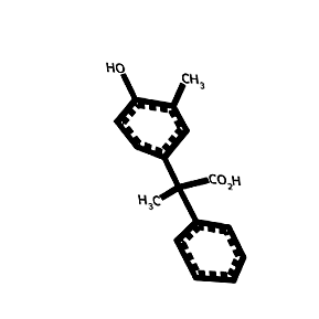 Cc1cc(C(C)(C(=O)O)c2ccccc2)ccc1O